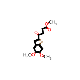 COC(=O)CCC(=O)c1cc2cc(OC)c(OC)cc2s1